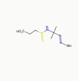 CC(C)(C)N=NC(C)(C)NS(=S)CCC(=O)O